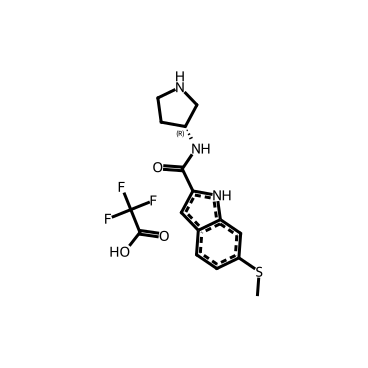 CSc1ccc2cc(C(=O)N[C@@H]3CCNC3)[nH]c2c1.O=C(O)C(F)(F)F